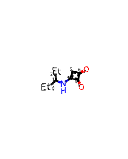 CCC(CC)Nc1cc(=O)c1=O